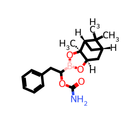 CC1(C)[C@@H]2C[C@H]3OB(C(Cc4ccccc4)OC(N)=O)O[C@@]3(C)[C@H]1C2